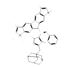 CC1=CC(C)(C)c2cc3c(cc21)-c1cc2c(cc1[CH]3[Zr](=[CH]c1ccccc1)[C]1=C(C)C(CC34CC5CC(CC(C5)C3)C4)=CC1C)C(C)(C)C=C2C